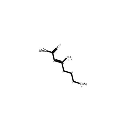 COCCC/C(N)=C/C(=O)OC